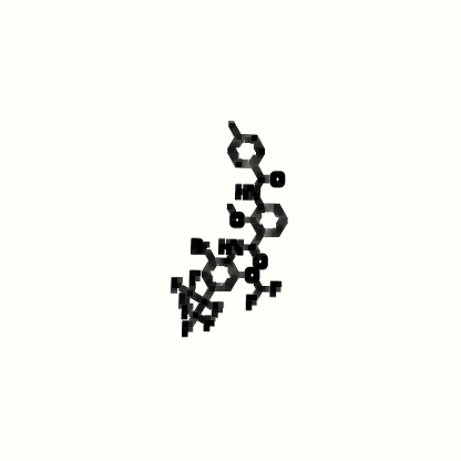 COc1c(NC(=O)c2ccc(C)cc2)cccc1C(=O)Nc1c(Br)cc(C(F)(C(F)(F)F)C(F)(F)F)cc1OC(F)F